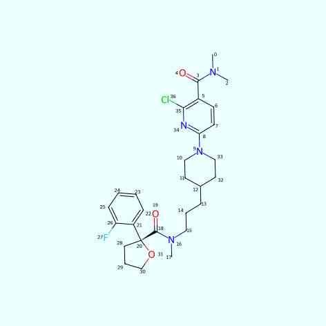 CN(C)C(=O)c1ccc(N2CCC(CCCN(C)C(=O)[C@]3(c4ccccc4F)CCCO3)CC2)nc1Cl